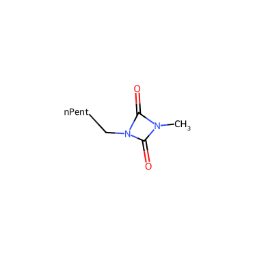 CCCCCCN1C(=O)N(C)C1=O